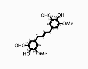 COc1cc(C/C=C/Cc2cc(C=O)c(O)c(OC)c2)cc(C=O)c1O